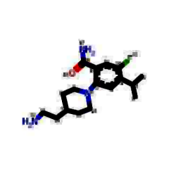 CC(C)c1cc(N2CCC(CCN)CC2)c(C(N)=O)cc1F